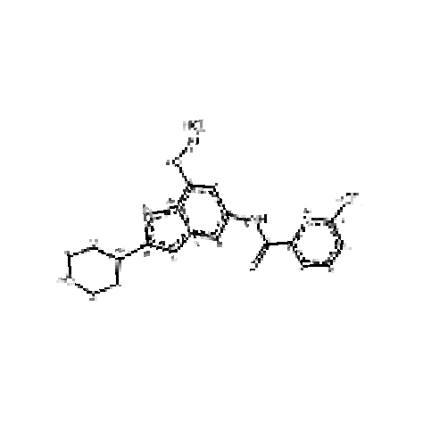 CCOc1cc(NC(=O)c2cccc(C(F)(F)F)n2)cn2cc(C3CCOCC3)nc12.Cl